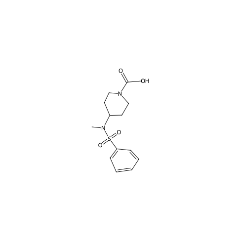 CN(C1CCN(C(=O)O)CC1)S(=O)(=O)c1ccccc1